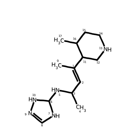 C/C(=C\C(C)NC1NC=NN1)C1CNCCC1C